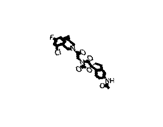 CC(=O)Nc1ccc2c(c1)CC[C@@]21OC(=O)N(CC(=O)N(Cc2ccc(F)cc2Cl)CC2CC2)C1=O